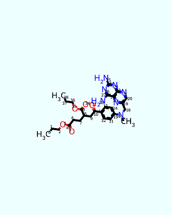 CCCOC(=O)CCC(CC(=O)c1ccc(N(C)Cc2cnc3nc(N)nc(N)c3n2)cc1)C(=O)OCCC